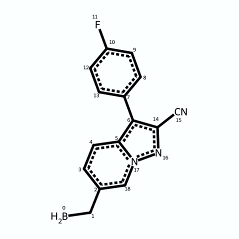 BCc1ccc2c(-c3ccc(F)cc3)c(C#N)nn2c1